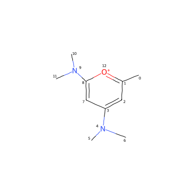 Cc1cc(N(C)C)cc(N(C)C)[o+]1